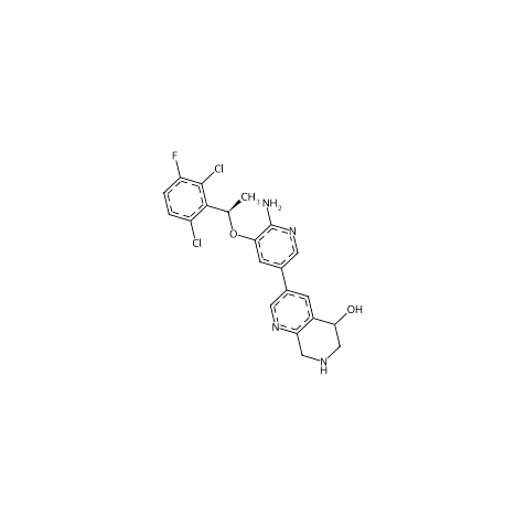 C[C@@H](Oc1cc(-c2cnc3c(c2)C(O)CNC3)cnc1N)c1c(Cl)ccc(F)c1Cl